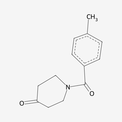 Cc1ccc(C(=O)N2CCC(=O)CC2)cc1